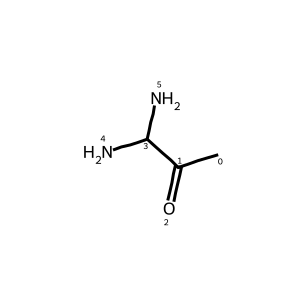 CC(=O)C(N)N